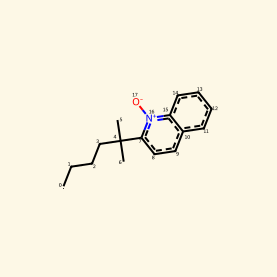 [CH2]CCCC(C)(C)c1ccc2ccccc2[n+]1[O-]